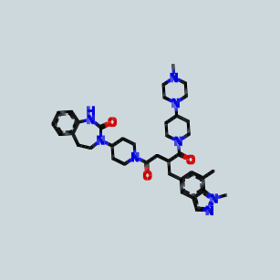 Cc1cc(CC(CC(=O)N2CCC(N3CCc4ccccc4NC3=O)CC2)C(=O)N2CCC(N3CCN(C)CC3)CC2)cc2cnn(C)c12